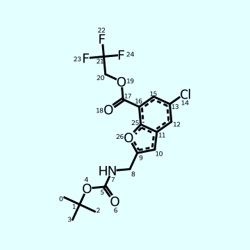 CC(C)(C)OC(=O)NCc1cc2cc(Cl)cc(C(=O)OCC(F)(F)F)c2o1